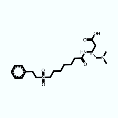 CN(C)C[C@@H](CC(=O)O)NC(=O)CCCCCCS(=O)(=O)CCc1ccccc1